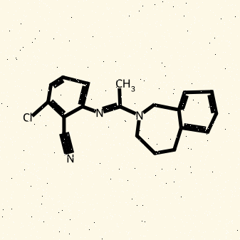 C/C(=N\c1cccc(Cl)c1C#N)N1CCCc2ccccc2C1